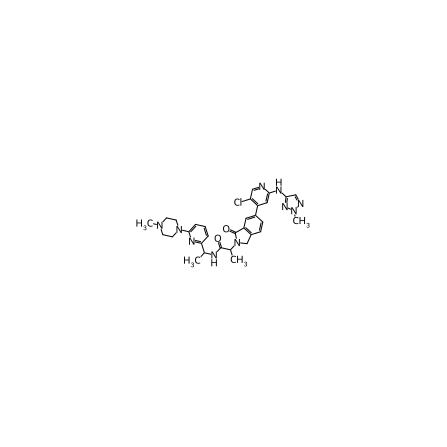 CC(NC(=O)C(C)N1Cc2ccc(-c3cc(Nc4cnn(C)n4)ncc3Cl)cc2C1=O)c1cccc(N2CCN(C)CC2)n1